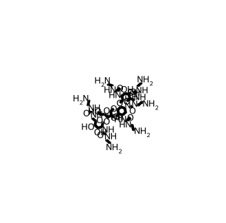 NCCNC(=O)NCC1OC(OC2C(CO)OC(OC3C(O)C(NC(=O)NCCN)CC(NC(=O)NCCN)C3OC3OC(CNC(=O)NCCN)C(O)C(O)C3NC(=O)NCCN)C2O)C(NC(=O)NCCN)C(O)C1O